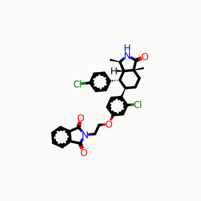 C[C@H]1NC(=O)[C@]2(C)CC[C@@H](c3ccc(OCCN4C(=O)c5ccccc5C4=O)cc3Cl)[C@H](c3ccc(Cl)cc3)[C@H]12